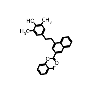 Cc1cc(CCc2cc(C(=O)Oc3ccccc3F)cc3ccccc23)cc(C)c1O